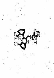 FC(F)(F)c1ccccc1-c1nc2c(Cl)cccc2nc1CN1CNc2ncncc21